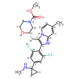 CNC1(c2cc(F)c(-c3nc4cc(C)ccn4c3C[C@H]3CN(C(=O)OC)CCO3)c(F)c2)CC1